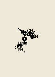 COc1cc(C)c2[nH]ccc2c1CN1CCC2(CC(C#N)C2)C[C@H]1c1ccc(C(=O)NCc2ccc(=O)n(C)c2)cc1